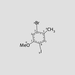 COc1cc(Br)c(C)cc1I